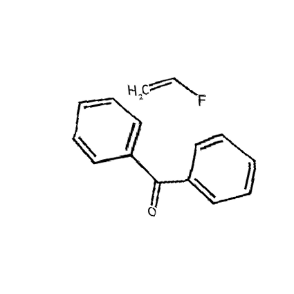 C=CF.O=C(c1ccccc1)c1ccccc1